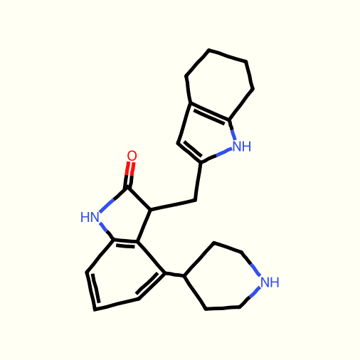 O=C1Nc2cccc(C3CCNCC3)c2C1Cc1cc2c([nH]1)CCCC2